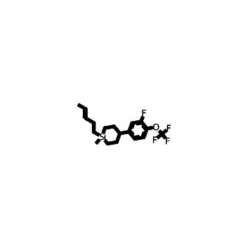 CC=CCC[Si]1(C)CCC(c2ccc(OC(F)(F)F)c(F)c2)CC1